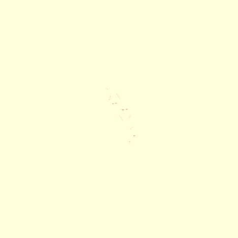 O=C(/C=C/c1ccc(-c2ccc(N3CCOCC3)cc2)cc1)NOPI